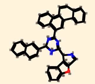 C1=NC(C2=NC(c3cc4c5ccccc5ccc4c4ccccc34)=NC(c3ccc4ccccc4c3)N2)c2c1oc1ccccc21